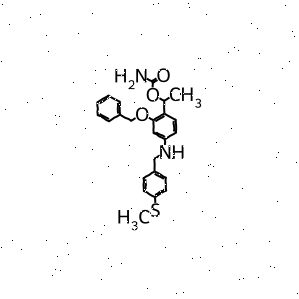 CSc1ccc(CNc2ccc(C(C)OC(N)=O)c(OCc3ccccc3)c2)cc1